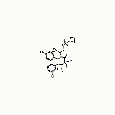 CCC1(CC(=O)O)CC(c2cccc(Cl)c2)C(c2ccc(Cl)cc2)N(C(CNS(=O)(=O)C2CCC2)C2CC2)C1=O